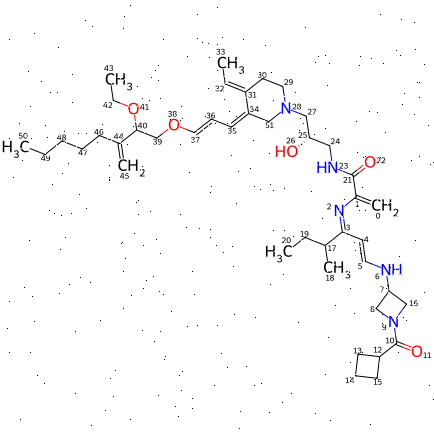 C=C(/N=C(\C=C\NC1CN(C(=O)C2CCC2)C1)C(C)CC)C(=O)NC[C@H](O)CN1CCC(=C\C)/C(=C\C=C\OCC(OCC)C(=C)CCCCC)C1